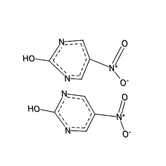 O=[N+]([O-])c1cnc(O)nc1.O=[N+]([O-])c1cnc(O)nc1